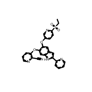 CCS(=O)(=O)c1ccc(Oc2cc3cc(-c4ccccn4)[nH]c3cc2Oc2cccnc2C#N)cn1